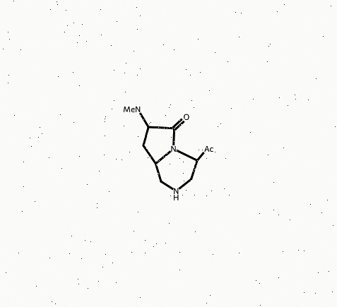 CNC1CC2CNCC(C(C)=O)N2C1=O